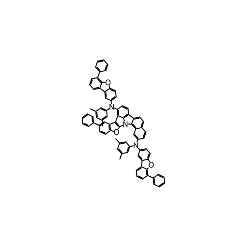 Cc1cc(C)cc(N(c2ccc3oc4c(-c5ccccc5)cccc4c3c2)c2ccc3ccc4c5ccc(N(c6cc(C)cc(C)c6)c6ccc7oc8c(-c9ccccc9)cccc8c7c6)c6c7c8cc(-c9ccccc9)ccc8oc7n(c4c3c2)c56)c1